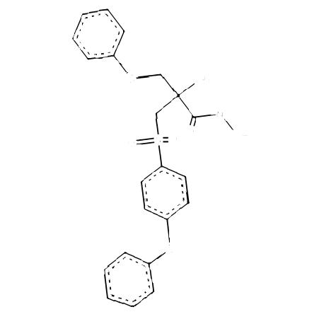 O=C(NO)C(O)(CSc1ccccc1)CS(=O)(=O)c1ccc(Oc2ccccc2)cc1